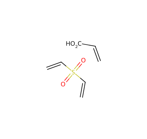 C=CC(=O)O.C=CS(=O)(=O)C=C